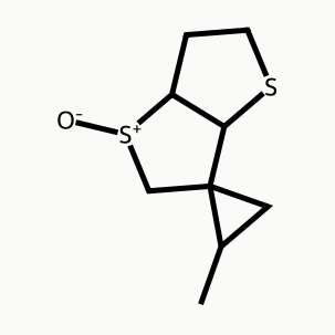 CC1CC12C[S+]([O-])C1CCSC12